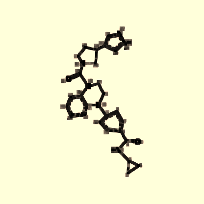 O=C(NC1CC1)c1ccc(N2CCN(C(=O)N3CCC(c4cn[nH]c4)C3)c3ccccc32)cc1